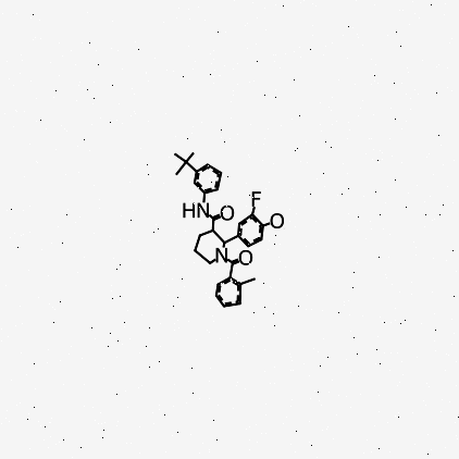 COc1ccc(C2C(C(=O)Nc3cccc(C(C)(C)C)c3)CCCN2C(=O)c2ccccc2C)cc1F